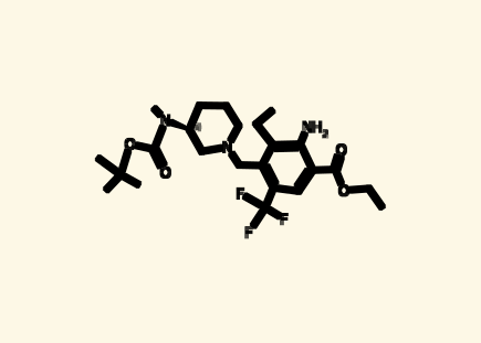 CCOC(=O)c1cc(C(F)(F)F)c(CN2CCC[C@H](N(C)C(=O)OC(C)(C)C)C2)c(CC)c1N